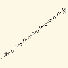 CCCCCNCCOCCOCCOCCOCCOCCOCCOCCOCCOCCOCCOCCOCCC(=O)O